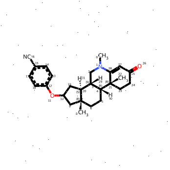 CN1C[C@@H]2[C@@H](CC[C@]3(C)CC(Oc4ccc(C#N)cc4)C[C@@H]23)[C@@]2(C)CCC(=O)C=C12